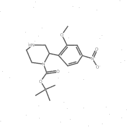 COc1cc([N+](=O)[O-])ccc1C1CNCCN1C(=O)OC(C)(C)C